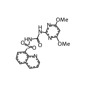 COc1cc(OC)nc(NC(=O)NS(=O)(=O)c2cccc3cccnc23)n1